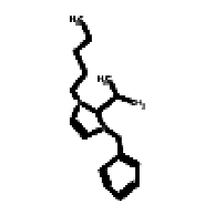 CCCCCN1C=CN(Cc2ccccc2)C1C(C)C